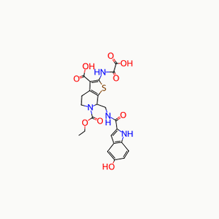 CCOC(=O)N1CCc2c(sc(NC(=O)C(=O)O)c2C(=O)O)C1CNC(=O)c1cc2cc(O)ccc2[nH]1